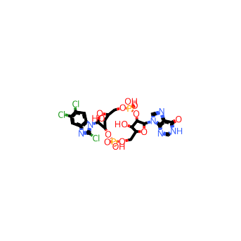 O=c1[nH]cnc2c1ncn2C1OC2COP(=O)(O)OC3C(O)C(COP(=O)(O)OC1C2O)OC3n1c(Cl)nc2cc(Cl)c(Cl)cc21